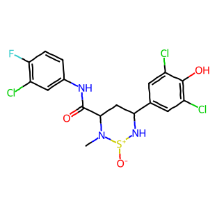 CN1C(C(=O)Nc2ccc(F)c(Cl)c2)CC(c2cc(Cl)c(O)c(Cl)c2)N[S+]1[O-]